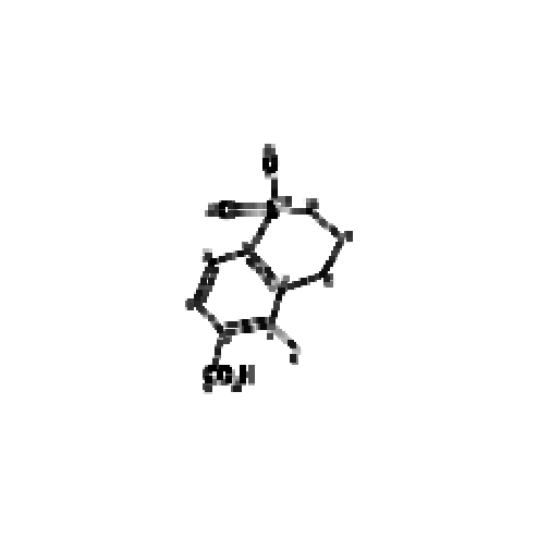 Cc1c(C(=O)O)ccc2c1CCCS2(=O)=O